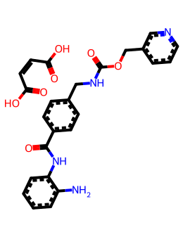 Nc1ccccc1NC(=O)c1ccc(CNC(=O)OCc2cccnc2)cc1.O=C(O)/C=C\C(=O)O